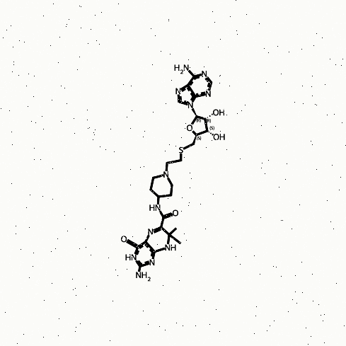 CC1(C)Nc2nc(N)[nH]c(=O)c2N=C1C(=O)NC1CCN(CCSC[C@H]2O[C@@H](n3cnc4c(N)ncnc43)[C@H](O)[C@@H]2O)CC1